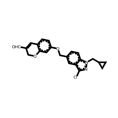 O=CC1=Cc2ccc(OCc3ccc4c(c3)c(Cl)nn4CC3CC3)cc2OC1